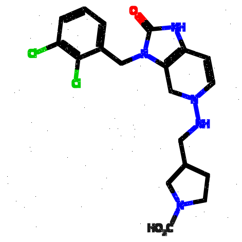 O=C(O)N1CCC(CNN2C=Cc3[nH]c(=O)n(Cc4cccc(Cl)c4Cl)c3C2)C1